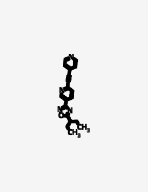 CCC(CC)c1nc(-c2ccc(C#Cc3ccncc3)nc2)no1